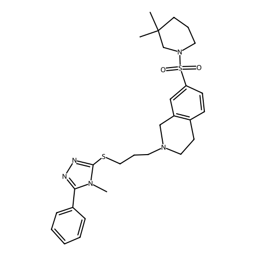 Cn1c(SCCCN2CCc3ccc(S(=O)(=O)N4CCCC(C)(C)C4)cc3C2)nnc1-c1ccccc1